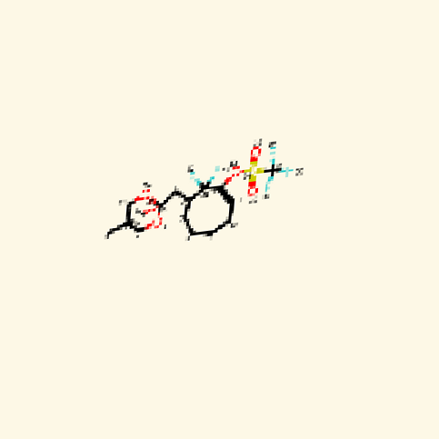 CC12COC(CC3CCCC/C=C(/OS(=O)(=O)C(F)(F)F)C3(F)F)(OC1)OC2